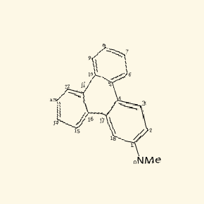 CNc1ccc2c3ccccc3c3ccccc3c2c1